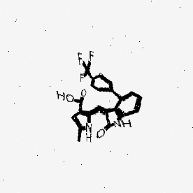 Cc1cc(C(=O)O)c(/C=C2\C(=O)Nc3cccc(-c4ccc(C(F)(F)F)cc4)c32)[nH]1